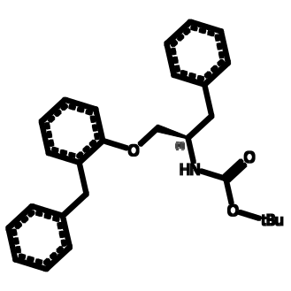 CC(C)(C)OC(=O)N[C@@H](COc1ccccc1Cc1ccccc1)Cc1ccccc1